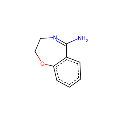 NC1=NCCOc2ccccc21